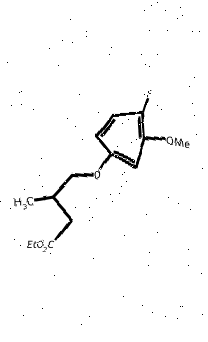 CCOC(=O)CC(C)COc1ccc(F)c(OC)c1